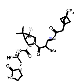 CC(C)(C)C(/C=N/C(=O)CC12CC(C(F)(F)F)(C1)C2)C(=O)N1C[C@H]2C([C@H]1C(=O)N[C@H](C#N)C[C@@H]1CCNC1=O)C2(C)C